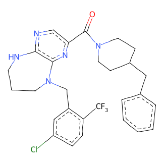 O=C(c1cnc2c(n1)N(Cc1cc(Cl)ccc1C(F)(F)F)CCCN2)N1CCC(Cc2ccccc2)CC1